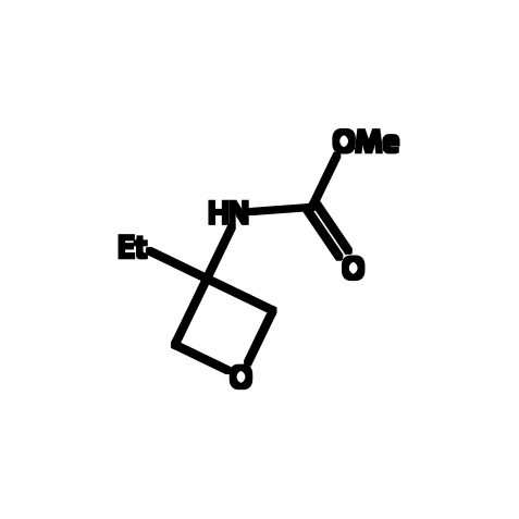 CCC1(NC(=O)OC)COC1